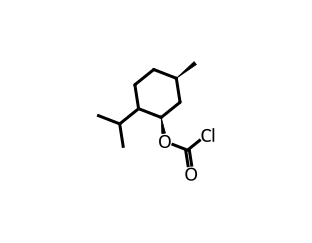 CC(C)C1CC[C@@H](C)C[C@H]1OC(=O)Cl